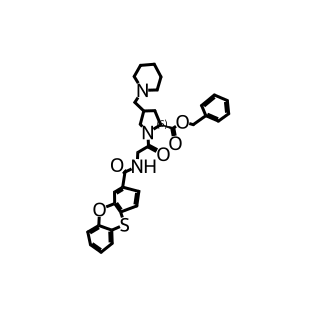 O=C(NCC(=O)N1CC(CN2CCCCC2)C[C@H]1C(=O)OCc1ccccc1)c1ccc2c(c1)Oc1ccccc1S2